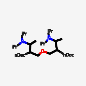 CCCCCCCCCCC(COCC(CCCCCCCCCC)C(C)N(C(C)C)C(C)C)C(C)N(C(C)C)C(C)C